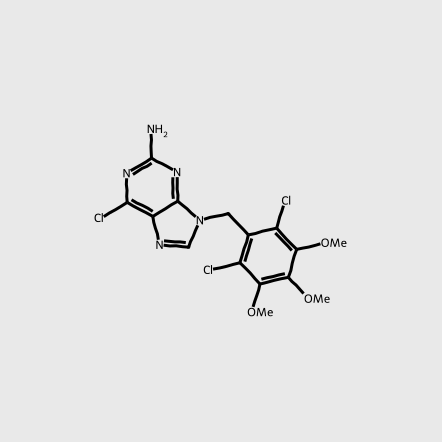 COc1c(Cl)c(Cn2cnc3c(Cl)nc(N)nc32)c(Cl)c(OC)c1OC